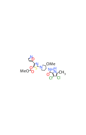 COC(=O)Oc1sc(N2CC[C@@H](NC(=O)c3[nH]c(C)c(Cl)c3Cl)[C@@H](OC)C2)nc1-c1ccno1